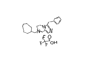 O=C(O)C(F)(F)F.c1ccc(Cc2ncc3n2CCN(CC2CCCCC2)C3)cc1